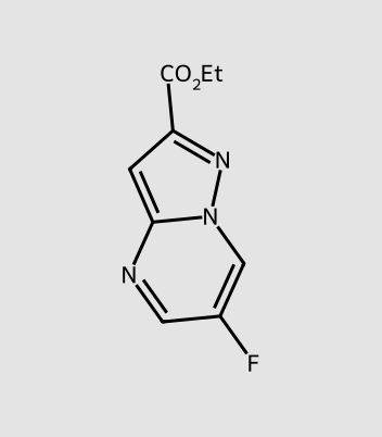 CCOC(=O)c1cc2ncc(F)cn2n1